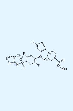 Cn1cns/c1=N/S(=O)(=O)c1cc(F)c(OC[C@@H]2CN(C(=O)OC(C)(C)C)CC[C@H]2c2ccc(Cl)cc2)cc1F